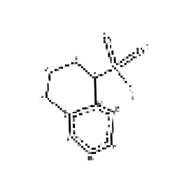 O=S(=O)(Cl)C1CCCc2ccccc21